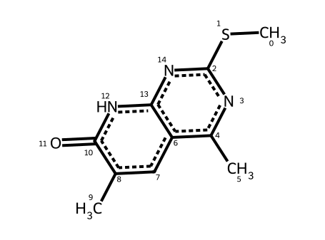 CSc1nc(C)c2cc(C)c(=O)[nH]c2n1